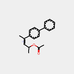 CC(=O)OC(C)/C=C(/C)c1ccc(-c2ccccc2)cc1